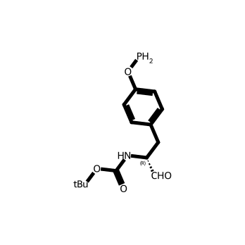 CC(C)(C)OC(=O)N[C@@H](C=O)Cc1ccc(OP)cc1